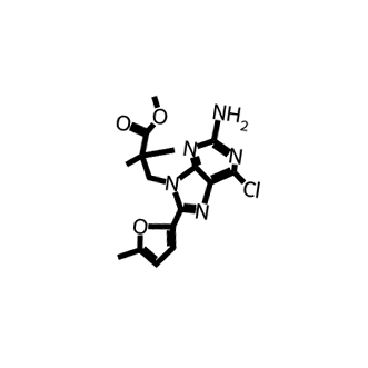 COC(=O)C(C)(C)Cn1c(-c2ccc(C)o2)nc2c(Cl)nc(N)nc21